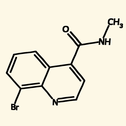 CNC(=O)c1ccnc2c(Br)cccc12